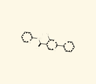 Nc1nc(-c2ccccn2)ncc1C(=O)Nc1ccccn1